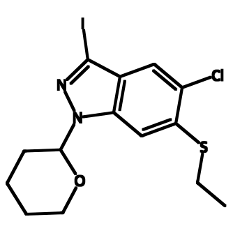 CCSc1cc2c(cc1Cl)c(I)nn2C1CCCCO1